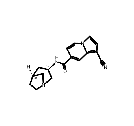 N#Cc1ccn2ccc(C(=O)N[C@@H]3C[C@@H]4CCN(C4)C3)cc12